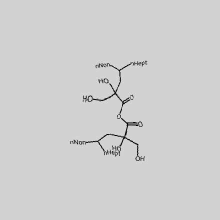 CCCCCCCCCC(CCCCCCC)CC(O)(CO)C(=O)OC(=O)C(O)(CO)CC(CCCCCCC)CCCCCCCCC